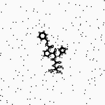 CC(C)(C)OC(=O)N[C@@H](Cc1cscn1)C(=O)N1CCC[C@H]1C(=O)OCc1ccccc1